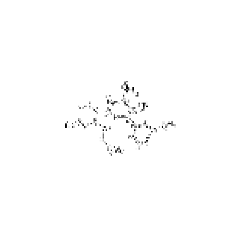 COCOc1cc(Cl)ccc1-c1cc(-c2cccc(N)c2)c(C#N)c(N)n1